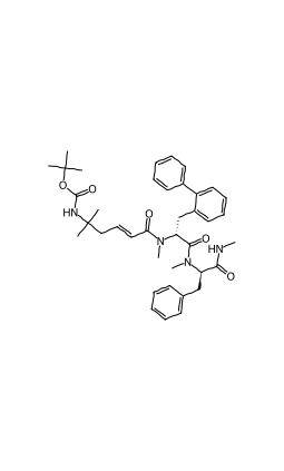 CNC(=O)[C@@H](Cc1ccccc1)N(C)C(=O)[C@@H](Cc1ccccc1-c1ccccc1)N(C)C(=O)C=CCC(C)(C)NC(=O)OC(C)(C)C